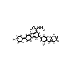 Cc1cc(-c2cc(C(N)=O)c3[nH]c4cc(C5CCNCC5)ccc4c3c2)ccc1CN1CCOCC1